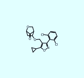 O=C1C2CC(OCc3c(-c4c(Cl)cccc4Cl)noc3C3CC3)C1CO2